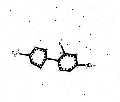 CCCCCCCCCCc1ccc(-c2ccc(C(F)(F)F)cc2)c(F)c1